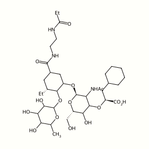 CCC(=O)NCCNC(=O)C1CC(O[C@@H]2O[C@@H](CO)C(O)C(O[C@@H](CC3CCCCC3)C(=O)O)C2NC(C)=O)C(OC2OC(C)C(O)C(O)C2O)[C@H](CC)C1